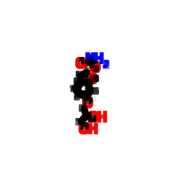 NS(=O)(=O)c1cc2ccc(OCC(O)CO)cc2o1